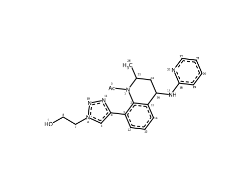 CC(=O)N1c2c(-c3cn(CCO)nn3)cccc2C(Nc2ccccn2)CC1C